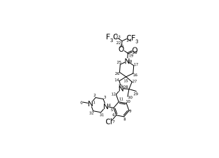 CN1CCN(c2c(Cl)cccc2CN2CC3(CCN(C(=O)OC(C(F)(F)F)C(F)(F)F)CC3)CC2(C)C)CC1